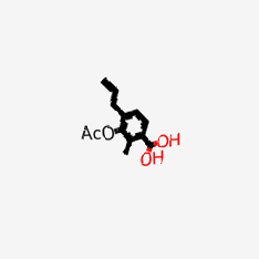 C=CCc1ccc(C(O)O)c(C)c1OC(C)=O